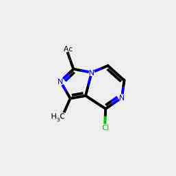 CC(=O)c1nc(C)c2c(Cl)nccn12